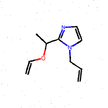 C=CCn1ccnc1C(C)OC=C